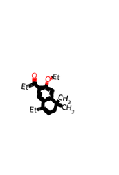 CCOc1cc2c(cc1C(=O)CC)C(CC)=CCC2(C)C